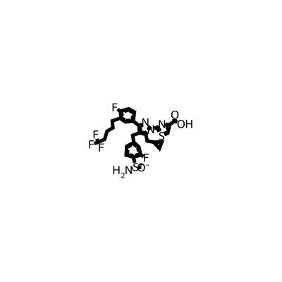 N[S+]([O-])c1ccc(Cc2c(-c3ccc(F)c(CCCCC(F)(F)F)c3)nn(-c3nc(C(=O)O)cs3)c2CC2CC2)cc1F